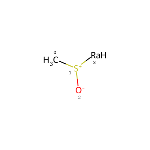 C[S+]([O-])[RaH]